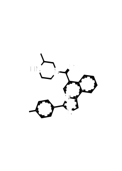 CC1CN(C(=O)c2cn3c(-c4ccc(F)cc4)ncc3c3ccccc23)CCN1